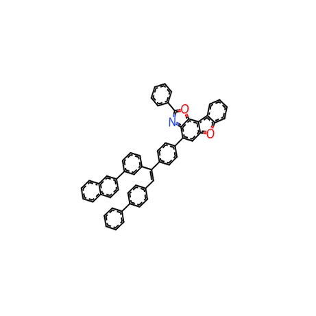 C(=C(\c1ccc(-c2cc3oc4ccccc4c3c3oc(-c4ccccc4)nc23)cc1)c1cccc(-c2ccc3ccccc3c2)c1)/c1ccc(-c2ccccc2)cc1